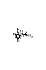 NC(=O)CNc1cc(Br)cc(F)c1N